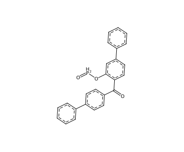 O=[PH2]Oc1cc(-c2ccccc2)ccc1C(=O)c1ccc(-c2ccccc2)cc1